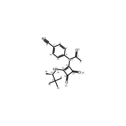 CC(=O)N(c1ccc(C#N)cc1)c1c(N[C@H](C)C(C)(C)C)c(=O)c1=O